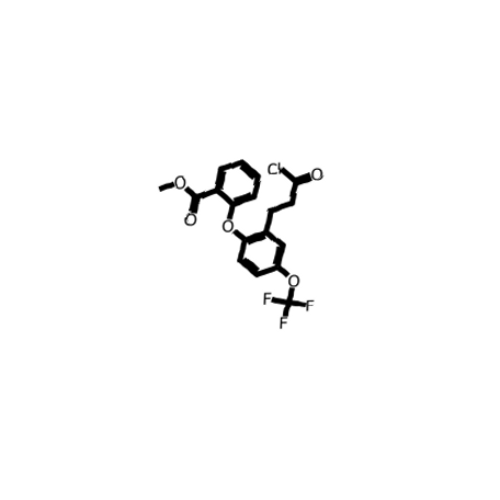 COC(=O)c1ccccc1Oc1ccc(OC(F)(F)F)cc1CCC(=O)Cl